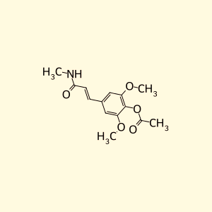 CNC(=O)/C=C/c1cc(OC)c(OC(C)=O)c(OC)c1